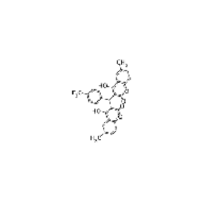 Cc1ccc2oc(=O)c(C(c3ccc(C(F)(F)F)cc3)c3c(O)c4cc(C)ccc4oc3=O)c(O)c2c1